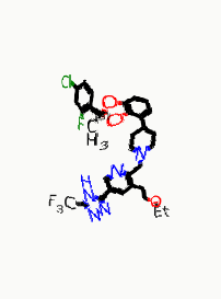 CCOCCc1cc(-c2nnc(C(F)(F)F)[nH]2)cnc1CN1CCC(c2cccc3c2O[C@@](C)(c2ccc(Cl)cc2F)O3)CC1